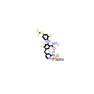 CNS(=O)(=O)Nc1nccc(Cc2cc(C(N)=O)c(Nc3ccc(SC(F)F)cc3F)c(F)c2F)c1F